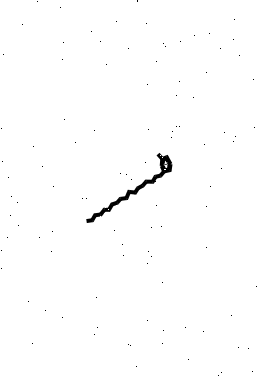 CCCCCCCCCCCCCCCCCCc1cc2cc(C)c1o2